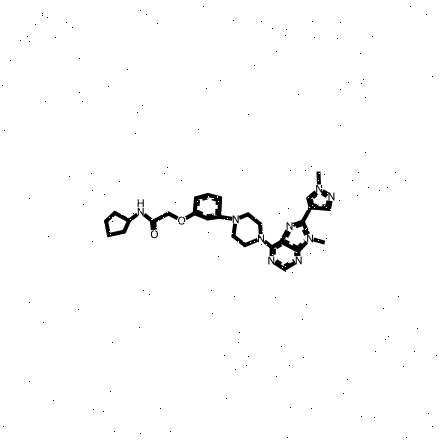 Cn1cc(-c2nc3c(N4CCN(c5cccc(OCC(=O)NC6CCCC6)c5)CC4)ncnc3n2C)cn1